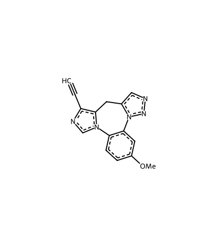 C#Cc1ncn2c1Cc1cnnn1-c1cc(OC)ccc1-2